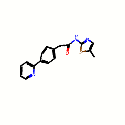 Cc1cnc(NC(=O)Cc2ccc(-c3ccccn3)cc2)s1